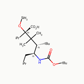 CC(C)C[C@H](NC(=O)OC(C)(C)C)[C@@H](C(C)(C)C)C(C)(C)[C@](O[SiH3])(C(=O)O)C(C)C